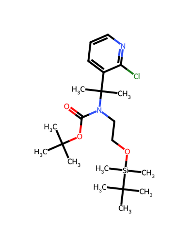 CC(C)(C)OC(=O)N(CCO[Si](C)(C)C(C)(C)C)C(C)(C)c1cccnc1Cl